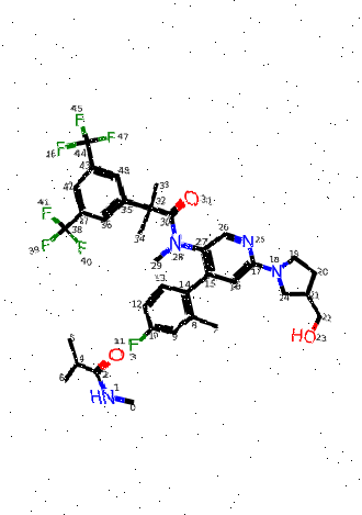 CNC(=O)C(C)C.Cc1cc(F)ccc1-c1cc(N2CCC(CO)C2)ncc1N(C)C(=O)C(C)(C)c1cc(C(F)(F)F)cc(C(F)(F)F)c1